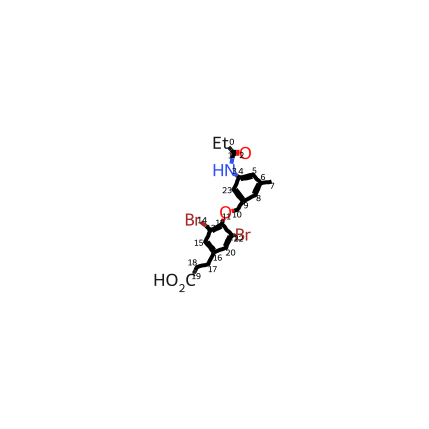 CCC(=O)Nc1cc(C)cc(COc2c(Br)cc(CCC(=O)O)cc2Br)c1